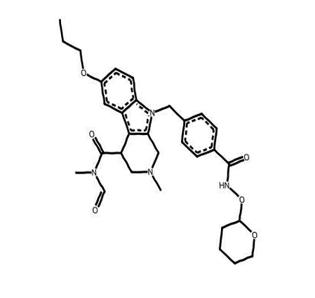 CCCOc1ccc2c(c1)c1c(n2Cc2ccc(C(=O)NOC3CCCCO3)cc2)CN(C)CC1C(=O)N(C)C=O